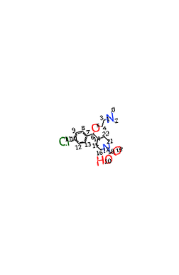 CN(C)CCOC(c1ccc(Cl)cc1)C1CCN(C(=O)O)CC1